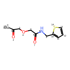 CCC(C)C(=O)COCC(=O)NCc1cccs1